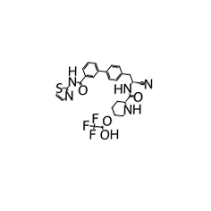 N#C[C@H](Cc1ccc(-c2cccc(C(=O)Nc3nccs3)c2)cc1)NC(=O)[C@@H]1CCCCN1.O=C(O)C(F)(F)F